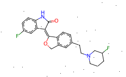 O=C1Nc2ccc(F)cc2C1=C1OCc2cc(CCN3CCCC(F)C3)ccc21